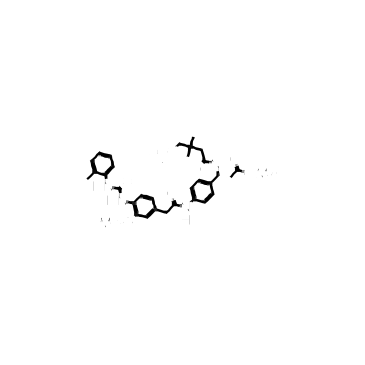 COC(=O)C[C@@H](NC(=O)CC(C)(C)CC(=O)O)c1ccc(NC(=O)Cc2ccc(NC(=O)Nc3ccccc3C)c(OC)c2)cc1